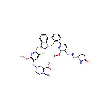 COc1nc(-c2cccc(-c3cccc4c3CC[C@@H]4Oc3nc(OC)c(CN4CCN(C)C(C(=O)O)C4)cc3Cl)c2Cl)ccc1CNC[C@@H]1CCC(=O)N1